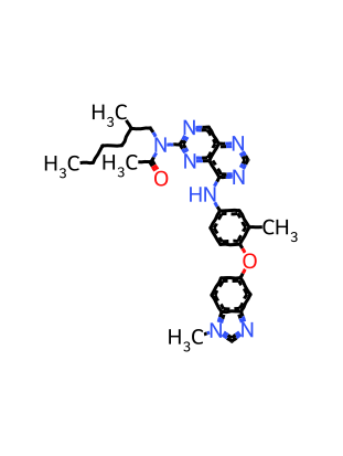 CCCCC(C)CN(C(C)=O)c1ncc2ncnc(Nc3ccc(Oc4ccc5c(c4)ncn5C)c(C)c3)c2n1